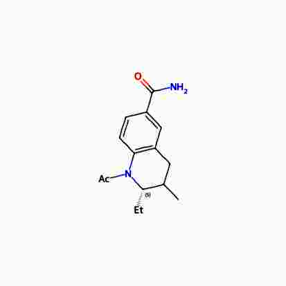 CC[C@H]1C(C)Cc2cc(C(N)=O)ccc2N1C(C)=O